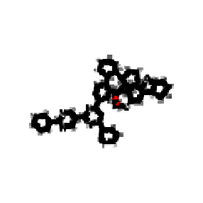 c1ccc(-c2cc(-c3ccc4c(c3)C3(c5ccccc5Oc5cc6c(cc53)oc3ccccc36)c3ccccc3-c3ccccc3-4)nc(-c3cnc(-c4ccccc4)nc3)n2)cc1